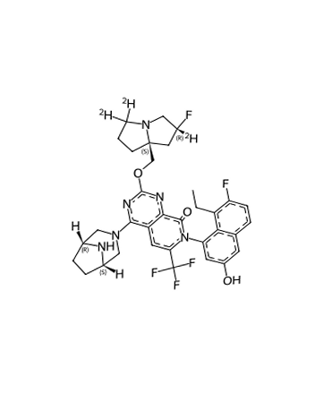 [2H]C1([2H])CC[C@@]2(COc3nc(N4C[C@H]5CC[C@@H](C4)N5)c4cc(C(F)(F)F)n(-c5cc(O)cc6ccc(F)c(CC)c56)c(=O)c4n3)C[C@@]([2H])(F)CN12